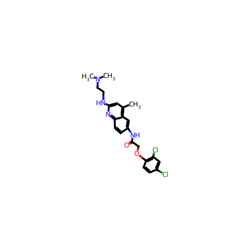 Cc1cc(NCCN(C)C)nc2ccc(NC(=O)COc3ccc(Cl)cc3Cl)cc12